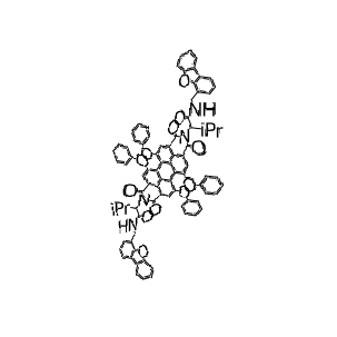 CC(C)C(C(=O)NCc1cccc2c1oc1ccccc12)N1C(=O)c2cc(Oc3ccccc3)c3c4c(Oc5ccccc5)cc5c6c(cc(Oc7ccccc7)c(c7c(Oc8ccccc8)cc(c2c37)C1=O)c64)C(=O)N(C(C(=O)NCc1cccc2c1oc1ccccc12)C(C)C)C5=O